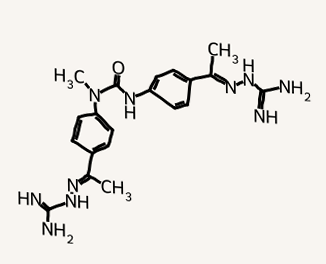 C/C(=N\NC(=N)N)c1ccc(NC(=O)N(C)c2ccc(/C(C)=N/NC(=N)N)cc2)cc1